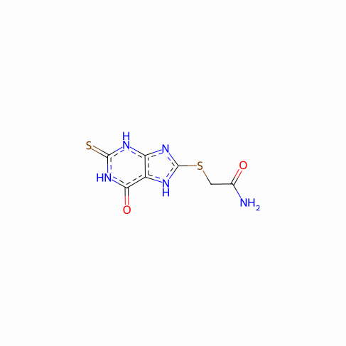 NC(=O)CSc1nc2[nH]c(=S)[nH]c(=O)c2[nH]1